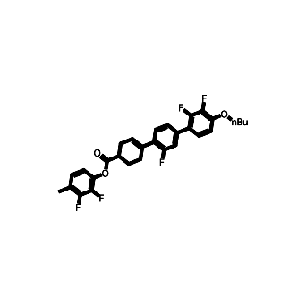 CCCCOc1ccc(-c2ccc(C3=CCC(C(=O)Oc4ccc(C)c(F)c4F)CC3)c(F)c2)c(F)c1F